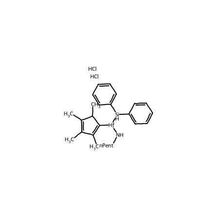 CCCCC[NH][Hf]([C]1=C(C)C(C)=C(C)C1C)[SiH](c1ccccc1)c1ccccc1.Cl.Cl